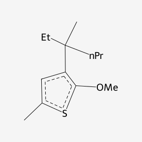 CCCC(C)(CC)c1cc(C)sc1OC